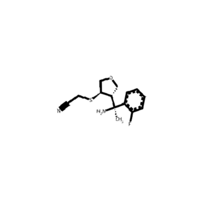 C[C@@](N)(c1ccccc1F)[C@H]1COC[C@@H]1SCC#N